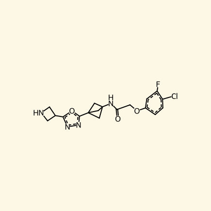 O=C(COc1ccc(Cl)c(F)c1)NC12CC(c3nnc(C4CNC4)o3)(C1)C2